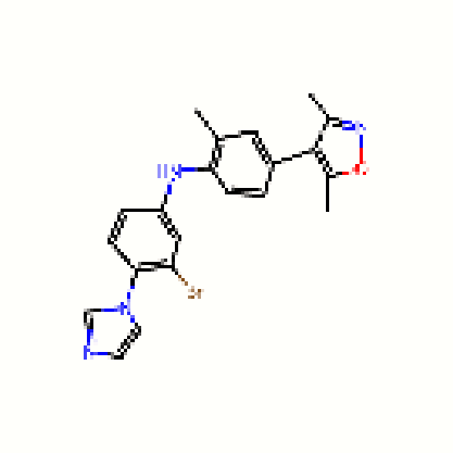 Cc1cc(-c2c(C)noc2C)ccc1Nc1ccc(-n2ccnc2)c(Br)c1